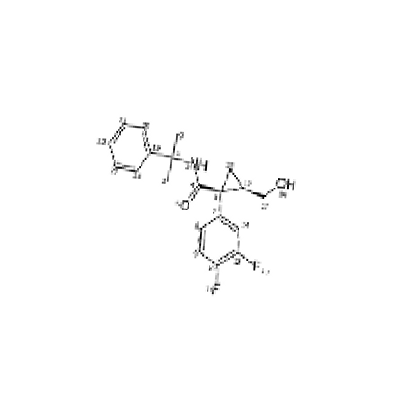 CC(C)(NC(=O)[C@@]1(c2ccc(F)c(F)c2)C[C@H]1CO)c1ccccc1